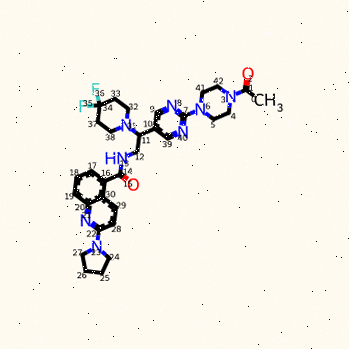 CC(=O)N1CCN(c2ncc(C(CNC(=O)c3cccc4nc(N5CCCC5)ccc34)N3CCC(F)(F)CC3)cn2)CC1